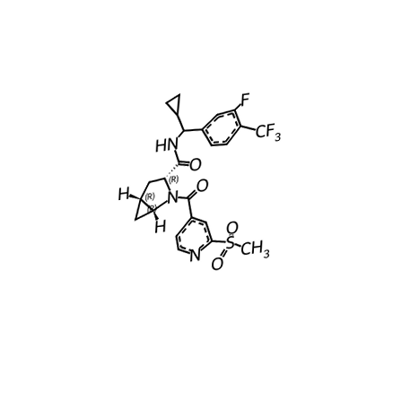 CS(=O)(=O)c1cc(C(=O)N2[C@@H](C(=O)NC(c3ccc(C(F)(F)F)c(F)c3)C3CC3)C[C@H]3C[C@H]32)ccn1